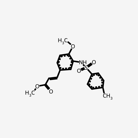 COC(=O)/C=C/c1ccc(OC)c(NS(=O)(=O)c2ccc(C)cc2)c1